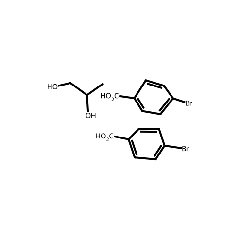 CC(O)CO.O=C(O)c1ccc(Br)cc1.O=C(O)c1ccc(Br)cc1